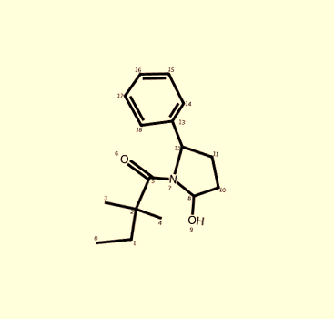 CCC(C)(C)C(=O)N1C(O)CCC1c1ccccc1